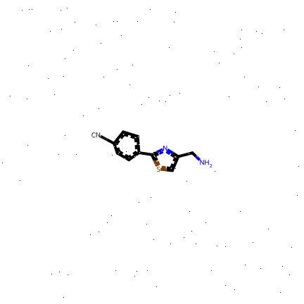 [C-]#[N+]c1ccc(-c2nc(CN)cs2)cc1